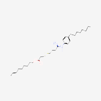 CCCCCCCCCOC(=O)CCSCCCC(=N)Nc1ccc(CCCCCCCC)cc1